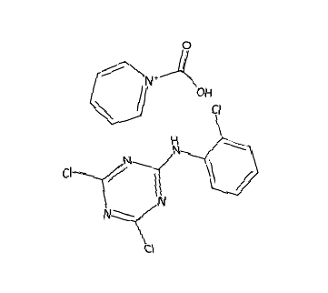 Clc1nc(Cl)nc(Nc2ccccc2Cl)n1.O=C(O)[n+]1ccccc1